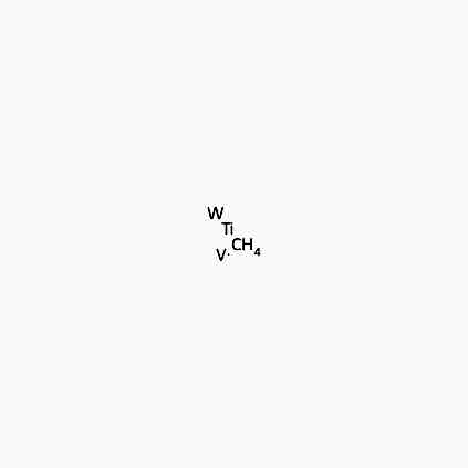 C.[Ti].[V].[W]